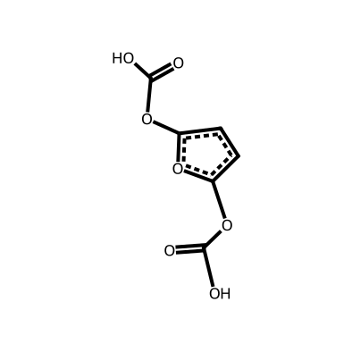 O=C(O)Oc1ccc(OC(=O)O)o1